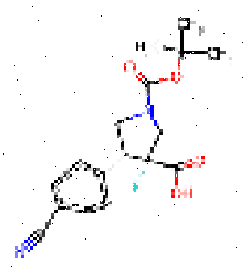 CC(C)(C)OC(=O)N1C[C@@H](c2ccc(C#N)cc2)[C@](F)(C(=O)O)C1